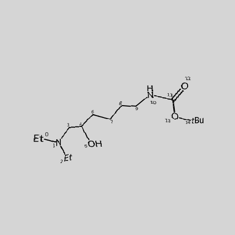 CCN(CC)CC(O)CCCCNC(=O)OC(C)(C)C